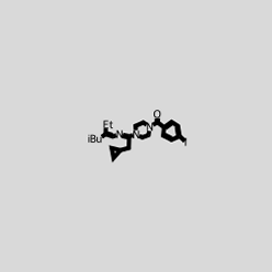 CC/C(=C\N=C(/CC1CC1)N1CCN(C(=O)c2ccc(I)cc2)CC1)C(C)CC